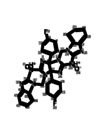 [O-][NH+]1C2=NC3(c4ccc(F)cc4)N4Cn5c(nc6ccccc65)[NH+]([O-])C4=NC3(c3ccc(F)cc3)N2Cn2c1nc1ccccc12